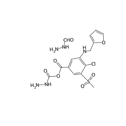 CS(=O)(=O)c1cc(C(=O)OC(=O)NN)cc(NCc2ccco2)c1Cl.NNC=O